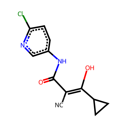 N#CC(C(=O)Nc1ccc(Cl)nc1)=C(O)C1CC1